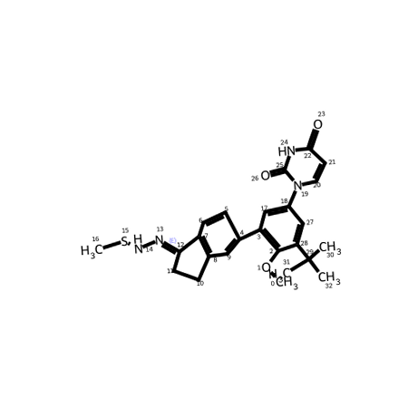 COc1c(-c2ccc3c(c2)CC/C3=N\NSC)cc(-n2ccc(=O)[nH]c2=O)cc1C(C)(C)C